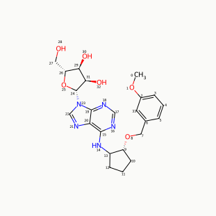 COc1cccc(CO[C@@H]2CCCC2Nc2ncnc3c2ncn3[C@@H]2O[C@H](CO)[C@@H](O)[C@H]2O)c1